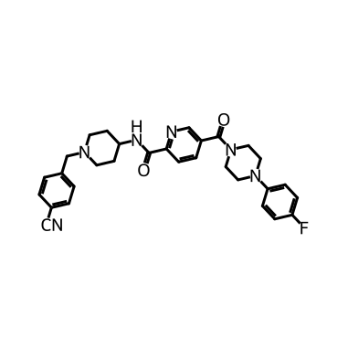 N#Cc1ccc(CN2CCC(NC(=O)c3ccc(C(=O)N4CCN(c5ccc(F)cc5)CC4)cn3)CC2)cc1